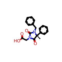 C[C@@]1(c2ccccc2)C(=O)N(CC(=O)O)C(=O)N1Cc1ccccc1